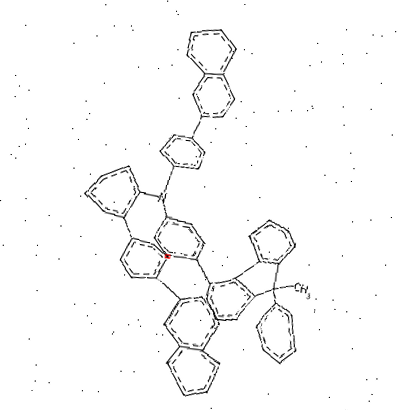 CC1(c2ccccc2)c2ccccc2-c2c(-c3ccc(N(c4ccc(-c5ccc6ccccc6c5)cc4)c4ccccc4-c4ccc(-c5ccc6ccccc6c5)cc4)cc3)cccc21